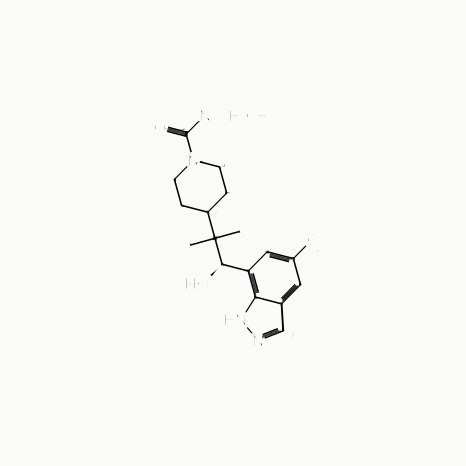 CN(O)C(=O)N1CCC(C(C)(C)[C@H](O)c2cc(Cl)cc3cn[nH]c23)CC1